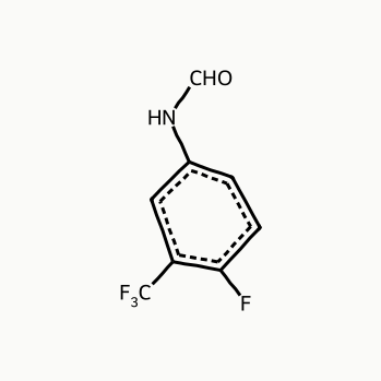 O=CNc1ccc(F)c(C(F)(F)F)c1